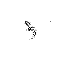 OCCO[C@H]1CC[C@@H](Nc2ncc3c(-c4ccn5nccc5n4)c[nH]c3n2)CC1